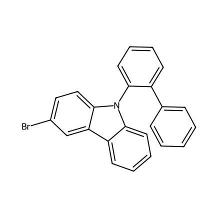 Brc1ccc2c(c1)c1ccccc1n2-c1ccccc1-c1ccccc1